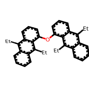 CCc1c2ccccc2c(CC)c2c(Oc3cccc4c(CC)c5ccccc5c(CC)c34)cccc12